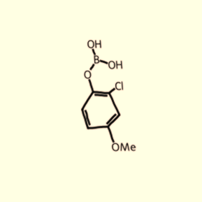 COc1ccc(OB(O)O)c(Cl)c1